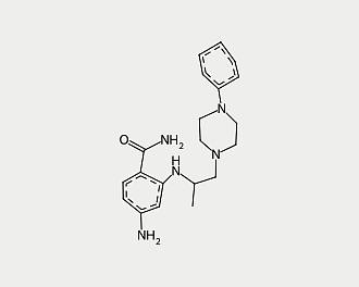 CC(CN1CCN(c2ccccc2)CC1)Nc1cc(N)ccc1C(N)=O